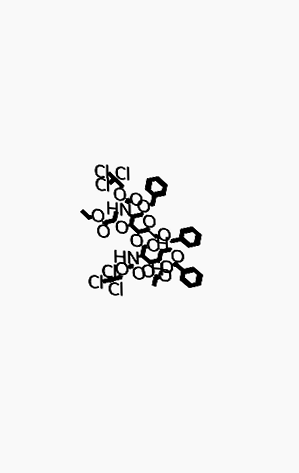 CCOC(=O)C(C)O[C@H]1[C@H](NC(=O)OCC(Cl)(Cl)Cl)[C@H](OCc2ccccc2)O[C@@H](COCc2ccccc2)[C@@H]1O[C@@H]1O[C@@H]2COC(c3ccccc3)O[C@H]2[C@H](OC(C)=O)[C@H]1NC(=O)OCC(Cl)(Cl)Cl